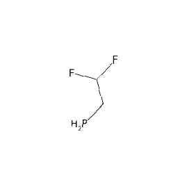 FC(F)CP